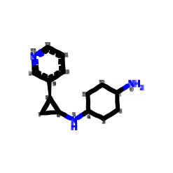 NC1CCC(NC2C[C@H]2c2cccnc2)CC1